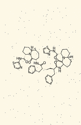 O=C(NC1CCS[C@H]2CCC[C@@H](C(=O)Nc3nccs3)N2C1=O)[C@H](CC[C@H](Cc1ccccc1)C(=O)N[C@H]1CCS[C@H]2CCC[C@@H](C(=O)Nc3nccs3)N2C1=O)Cc1ccccc1